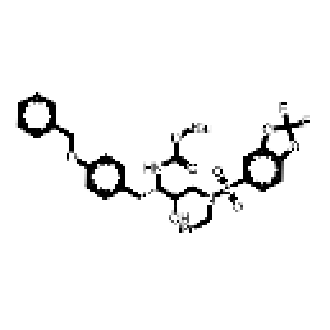 CC(C)CN(C[C@@H](O)[C@H](Cc1ccc(OCc2ccccc2)cc1)NC(=O)OC(C)(C)C)S(=O)(=O)c1ccc2c(c1)OC(F)(F)O2